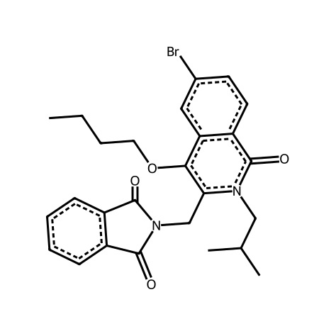 CCCCOc1c(CN2C(=O)c3ccccc3C2=O)n(CC(C)C)c(=O)c2ccc(Br)cc12